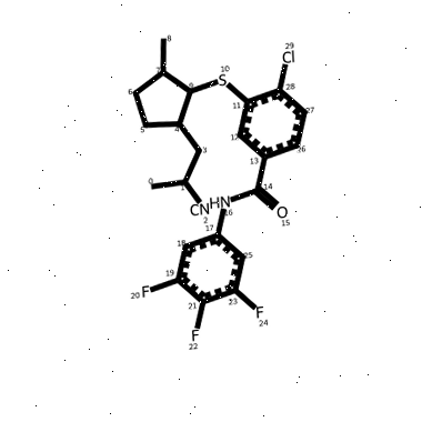 CC(C#N)CC1CCC(C)C1Sc1cc(C(=O)Nc2cc(F)c(F)c(F)c2)ccc1Cl